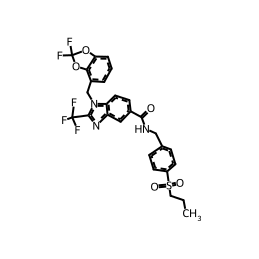 CCCS(=O)(=O)c1ccc(CNC(=O)c2ccc3c(c2)nc(C(F)(F)F)n3Cc2cccc3c2OC(F)(F)O3)cc1